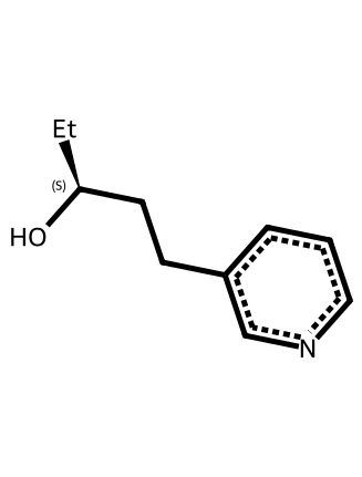 CC[C@H](O)CCc1cccnc1